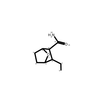 CCC1C2CCC(O2)C1C(N)=O